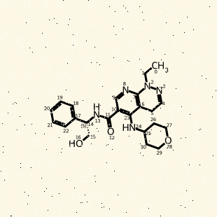 CCN1N=CCc2c1ncc(C(=O)N[C@H](CO)c1ccccc1)c2NC1CCOCC1